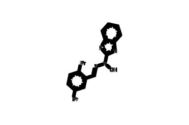 CC(C)c1ccc(C(C)C)c(/C=N/N(O)c2nc3ccccc3s2)c1